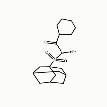 CCCN(C(=O)C1CCCCC1)S(=O)(=O)C12CC3CC(CC(C3)C1)C2